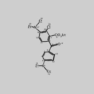 CCOC(=O)c1c(C(=O)c2ccc(N(CC)CC)cc2)ccc(N(CC)CC)c1Cl